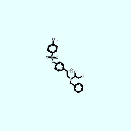 Cc1ccc(S(=O)(=O)Oc2ccc([C@H](O)CN(Cc3ccccc3)C(=O)CBr)cc2)cc1